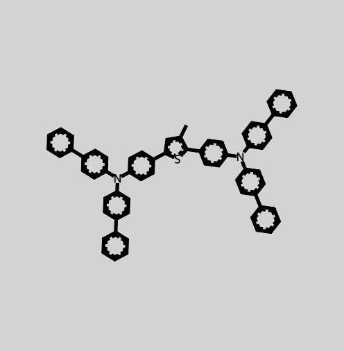 Cc1cc(-c2ccc(N(c3ccc(-c4ccccc4)cc3)c3ccc(-c4ccccc4)cc3)cc2)sc1-c1ccc(N(c2ccc(-c3ccccc3)cc2)c2ccc(-c3ccccc3)cc2)cc1